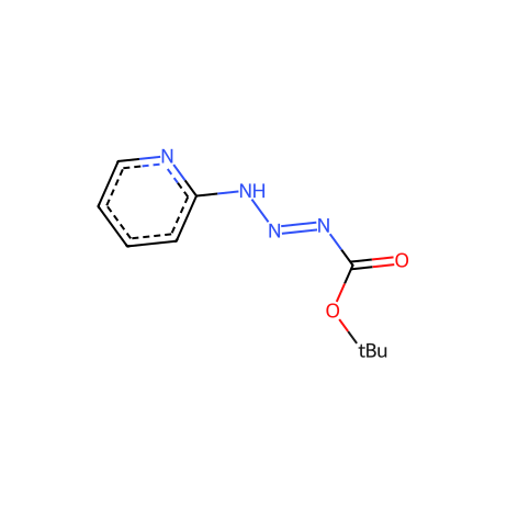 CC(C)(C)OC(=O)N=NNc1ccccn1